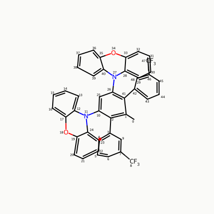 Cc1c(-c2cccc(C(F)(F)F)c2)c(N2c3ccccc3Oc3ccccc32)cc(N2c3ccccc3Oc3ccccc32)c1-c1cccc(C(F)(F)F)c1